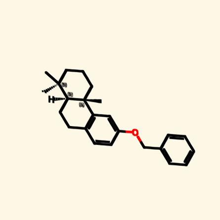 [CH2][C@]1(C)CCC[C@]2(C)c3cc(OCc4ccccc4)ccc3CC[C@@H]12